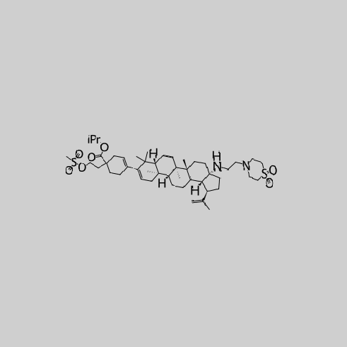 C=C(C)[C@@H]1CC[C@]2(NCCN3CCS(=O)(=O)CC3)CC[C@]3(C)C(CC[C@@H]4[C@@]5(C)CC=C(C6=CCC(CCOS(C)(=O)=O)(C(=O)OC(C)C)CC6)C(C)(C)[C@@H]5CC[C@]43C)[C@@H]12